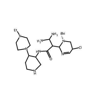 CC[C@@H](C)N1CC(Cl)C=NC1C(C(=O)NC1CNCCC1N1CCN(CC)CC1)C(N)N